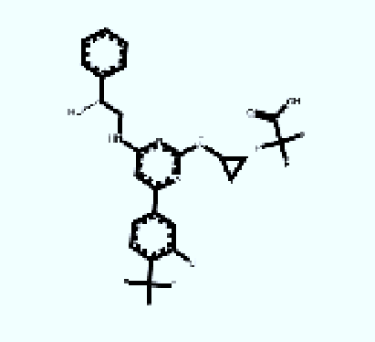 O=C(O)C(F)(F)F.O[C@@H](CNc1cc(-c2ccc(C(F)(F)F)c(Cl)c2)nc(NC2CC2)n1)c1ccccc1